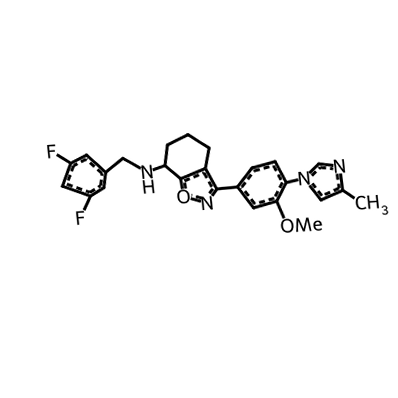 COc1cc(-c2noc3c2CCCC3NCc2cc(F)cc(F)c2)ccc1-n1cnc(C)c1